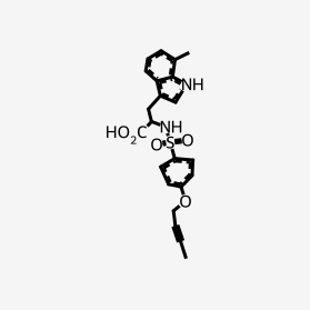 CC#CCOc1ccc(S(=O)(=O)NC(Cc2c[nH]c3c(C)cccc23)C(=O)O)cc1